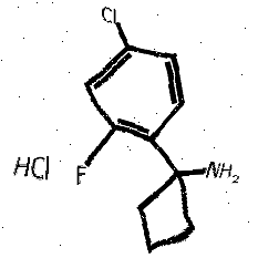 Cl.NC1(c2ccc(Cl)cc2F)CCC1